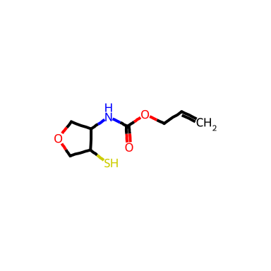 C=CCOC(=O)NC1COCC1S